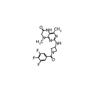 Cc1nc(NC2CN(C(=O)c3cc(F)c(F)c(F)c3)C2)nc2c1NC(=O)CN2C